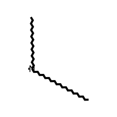 CCCCCCCCCCCCCCCCCCCCN(C)CCCCCCCCCCCCCCCC